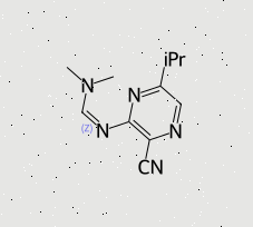 CC(C)c1cnc(C#N)c(/N=C\N(C)C)n1